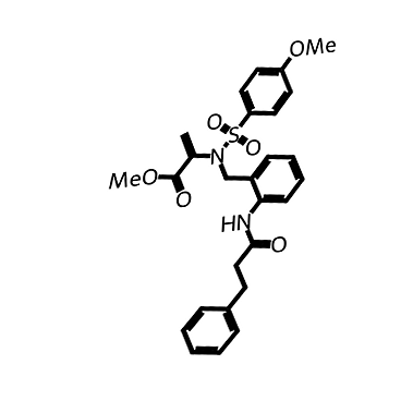 C=C(C(=O)OC)N(Cc1ccccc1NC(=O)CCc1ccccc1)S(=O)(=O)c1ccc(OC)cc1